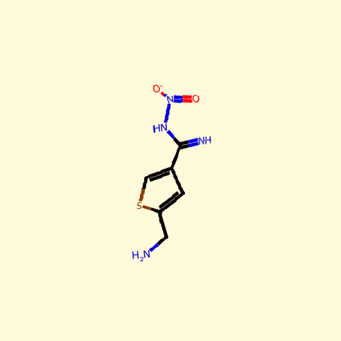 N=C(N[N+](=O)[O-])c1csc(CN)c1